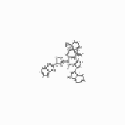 O=C(Nc1scc(-c2c[nH]c3ccccc23)c1C(=O)N(c1cccc(F)c1)c1cc(-c2nc3ccccc3[nH]2)cs1)c1cccc(F)c1